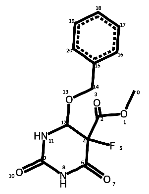 COC(=O)C1(F)C(=O)NC(=O)NC1OCc1ccccc1